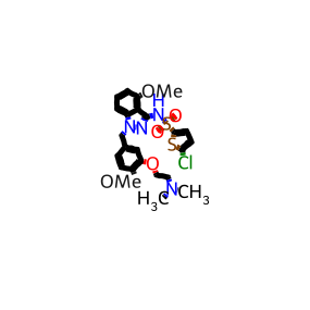 COc1ccc(Cn2nc(NS(=O)(=O)c3ccc(Cl)s3)c3c(OC)cccc32)cc1OCCN(C)C